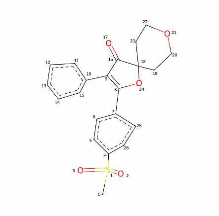 CS(=O)(=O)c1ccc(C2=C(c3ccccc3)C(=O)C3(CCOCC3)O2)cc1